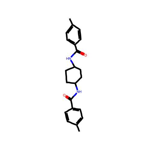 Cc1ccc(C(=O)NC2CCC(NC(=O)c3ccc(C)cc3)CC2)cc1